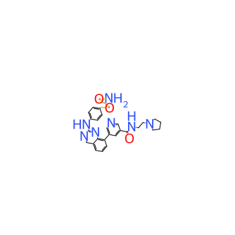 NS(=O)(=O)c1ccc(Nc2ncc3cccc(-c4cncc(C(=O)NCCN5CCCC5)c4)c3n2)cc1